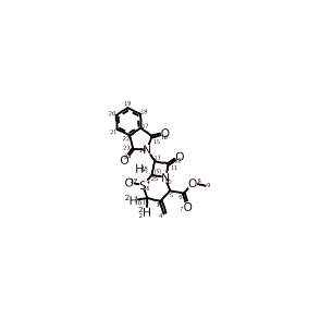 [2H]C1([2H])C(=C)C(C(=O)OC)N2C(=O)C(N3C(=O)c4ccccc4C3=O)[C@@H]2[S+]1[O-]